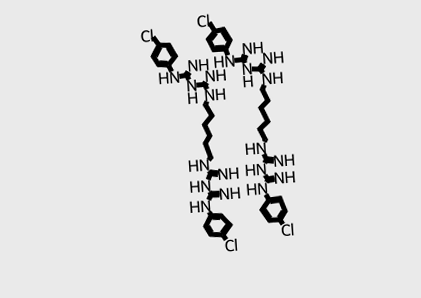 N=C(NCCCCCCNC(=N)NC(=N)Nc1ccc(Cl)cc1)NC(=N)Nc1ccc(Cl)cc1.N=C(NCCCCCCNC(=N)NC(=N)Nc1ccc(Cl)cc1)NC(=N)Nc1ccc(Cl)cc1